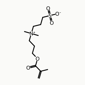 C=C(C)C(=O)OCCC[N+](C)(C)CCCS(=O)(=O)[O-]